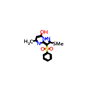 CSc1nn2c(O)cc(C)nc2c1S(=O)(=O)c1ccccc1